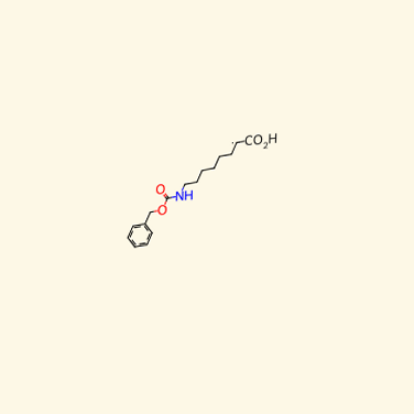 O=C(O)[CH]CCCCCCNC(=O)OCc1ccccc1